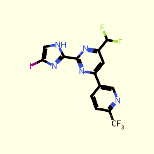 FC(F)c1cc(-c2ccc(C(F)(F)F)nc2)nc(-c2nc(I)c[nH]2)n1